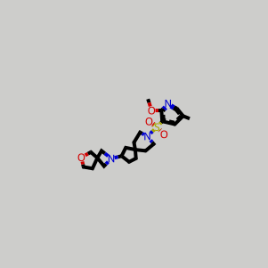 COc1ncc(C)cc1S(=O)(=O)N1CCC2(CCC(N3CC4(CCOC4)C3)C2)CC1